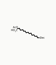 CCCCCCCCCCCCCCCCCCCCCCCC[C@@H](OC(C)=O)C(=O)O